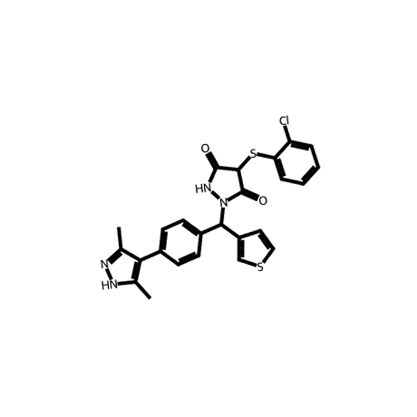 Cc1n[nH]c(C)c1-c1ccc(C(c2ccsc2)N2NC(=O)C(Sc3ccccc3Cl)C2=O)cc1